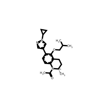 CC(=O)N1c2ccc(-c3cnn(C4CC4)c3)c(OCC(C)C)c2CC[C@@H]1C